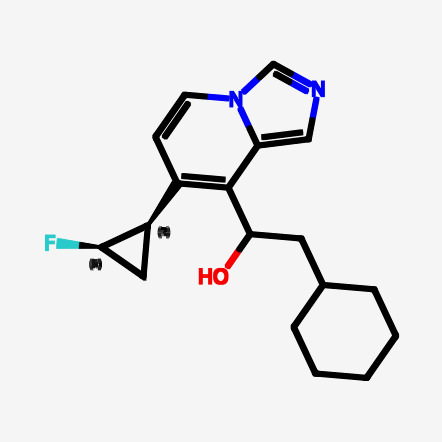 OC(CC1CCCCC1)c1c([C@H]2C[C@H]2F)ccn2cncc12